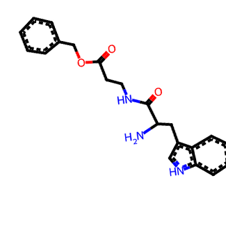 NC(Cc1c[nH]c2ccccc12)C(=O)NCCC(=O)OCc1ccccc1